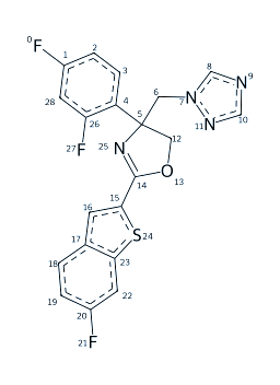 Fc1ccc(C2(Cn3cncn3)COC(c3cc4ccc(F)cc4s3)=N2)c(F)c1